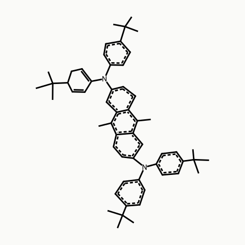 Cc1c2ccc(N(c3ccc(C(C)(C)C)cc3)c3ccc(C(C)(C)C)cc3)cc2c(C)c2ccc(N(C3=CCC(C(C)(C)C)C=C3)c3ccc(C(C)(C)C)cc3)cc12